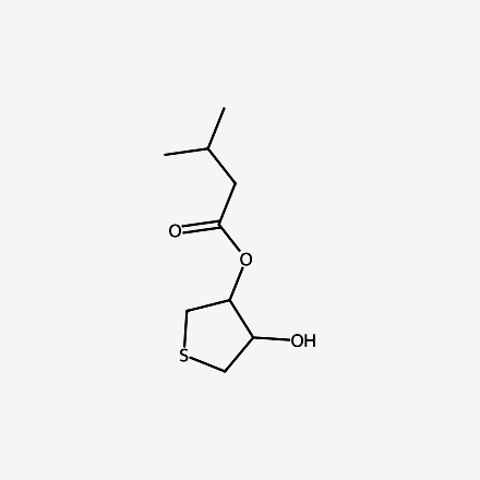 CC(C)CC(=O)OC1CSCC1O